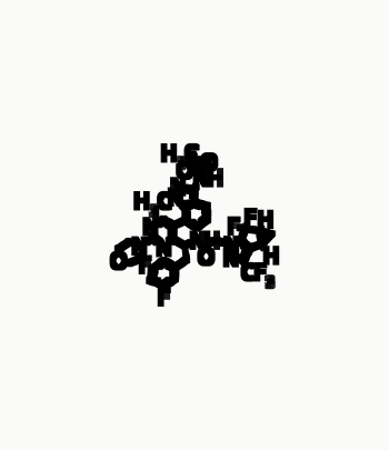 Cn1nc(NS(C)(=O)=O)c2cccc(-c3cnc(N4CCOCC4)nc3[C@H](Cc3cc(F)cc(F)c3)NC(=O)Cn3nc(C(F)(F)F)c4c3C(F)(F)[C@@H]3C[C@H]43)c21